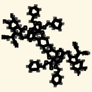 N#CC(C#N)=C1/C(=N/c2nc3c(s2)C2=CC4C=C5OC(C(=O)OCc6ccccc6)(C(=O)OCc6ccccc6)c6nc(/N=C7\C(=O)c8cc(F)c(F)cc8C7=C(C#N)C#N)sc6C5=CC4C=C2OC3(C(=O)OCc2ccccc2)C(=O)OCc2ccccc2)Cc2cc(F)c(F)cc21